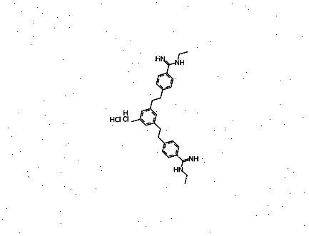 CCNC(=N)c1ccc(CCc2cc(C)cc(CCc3ccc(C(=N)NCC)cc3)c2)cc1.Cl.Cl